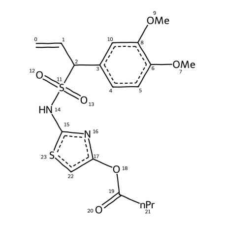 C=CC(c1ccc(OC)c(OC)c1)S(=O)(=O)Nc1nc(OC(=O)CCC)cs1